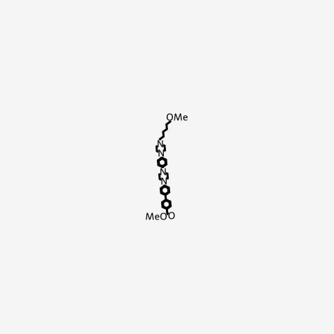 COCCCCCCN1CCN(c2ccc(N3CCN(c4ccc(-c5ccc(C(=O)OC)cc5)cc4)CC3)cc2)CC1